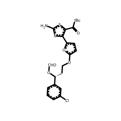 CC(C)(C)C(=O)c1sc(N)nc1-c1ccc(OCC[C@@H](OC=O)c2cccc(Cl)c2)o1